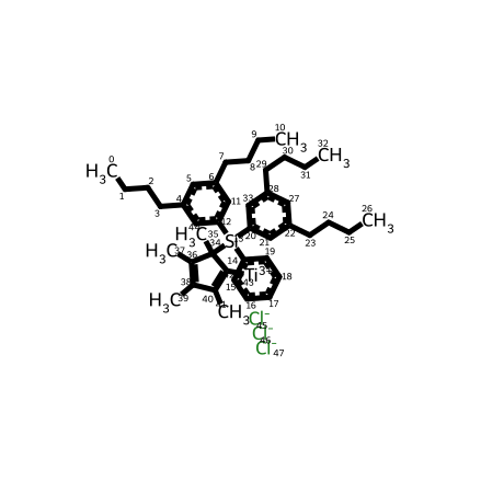 CCCCc1cc(CCCC)cc([Si](c2ccccc2)(c2cc(CCCC)cc(CCCC)c2)C2(C)C(C)=C(C)C(C)=[C]2[Ti+3])c1.[Cl-].[Cl-].[Cl-]